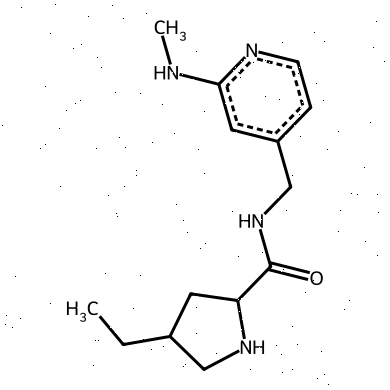 CCC1CNC(C(=O)NCc2ccnc(NC)c2)C1